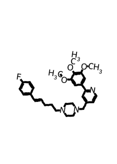 COc1cc(-c2cc(CN3CCN(CCC/C=C/c4ccc(F)cc4)CC3)ccn2)cc(OC)c1OC